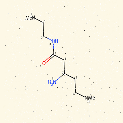 CNCCNC(=O)CC(N)CCNC